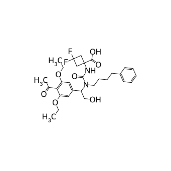 CCOc1cc(C(CO)N(CCCCc2ccccc2)C(=O)NC2(C(=O)O)CC(F)(F)C2)cc(OCC)c1C(C)=O